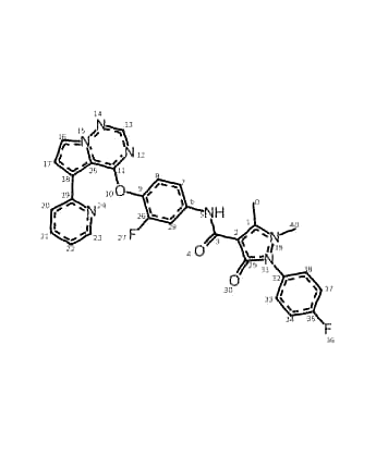 Cc1c(C(=O)Nc2ccc(Oc3ncnn4ccc(-c5ccccn5)c34)c(F)c2)c(=O)n(-c2ccc(F)cc2)n1C